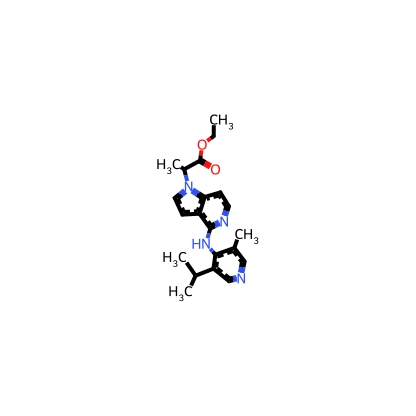 CCOC(=O)C(C)n1ccc2c(Nc3c(C)cncc3C(C)C)nccc21